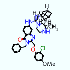 COc1ccc(OCc2nc3cc(N/C(=N/C4C[C@H]5C[C@@H]([C@@H]4C)C5(C)C)N4CCN[C@@H](C)C4)ccc3c(=O)n2Cc2ccccc2)c(Cl)c1